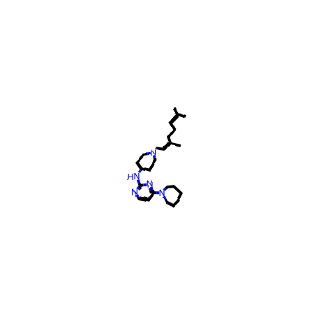 CC(C)=CCCC(C)=CCN1CCC(Nc2nccc(N3CCCCCC3)n2)CC1